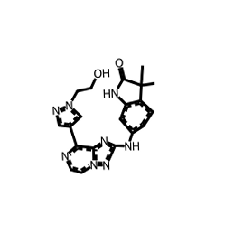 CC1(C)C(=O)Nc2cc(Nc3nc4c(-c5cnn(CCO)c5)nccn4n3)ccc21